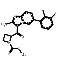 Cc1c(F)cccc1-c1ccc2nc(N)c(C(=O)C3CCN3C(=O)OC(C)(C)C)n2c1